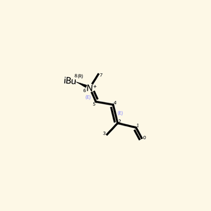 C=C/C(C)=C/C=[N+](\C)[C@H](C)CC